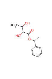 CC(OC(=O)C(O)C(O)C(=O)O)c1ccccc1